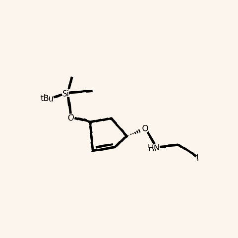 CC(C)(C)[Si](C)(C)OC1C=C[C@@H](ONCI)C1